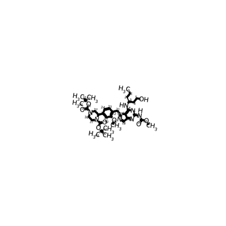 CCC[C@@H](CCO)Nc1nc(NC(=O)OC)nc2cnn(Cc3ccc(C4CN(C(=O)OC(C)(C)C)CCN4C(=O)OC(C)(C)C)cc3OC)c12